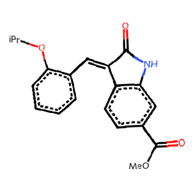 COC(=O)c1ccc2c(c1)NC(=O)/C2=C/c1ccccc1OC(C)C